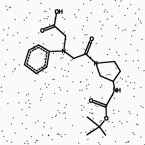 CC(C)(C)OC(=O)NC1CCN(C(=O)CN(CC(=O)O)c2ccccc2)C1